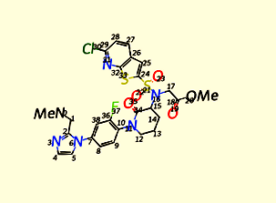 CNCc1nccn1-c1ccc(N2CCCC(N(CC(=O)OC)S(=O)(=O)c3cc4ccc(Cl)nc4s3)C2=O)c(F)c1